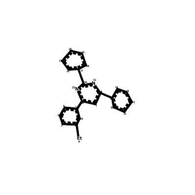 CCc1cccc(-c2cc(-c3ccccc3)nc(-c3ccccc3)n2)c1